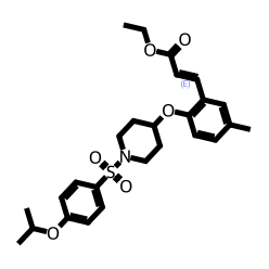 CCOC(=O)/C=C/c1cc(C)ccc1OC1CCN(S(=O)(=O)c2ccc(OC(C)C)cc2)CC1